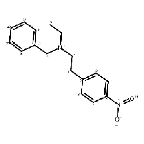 CCN(CCc1ccc([N+](=O)[O-])cc1)Cc1ccccc1